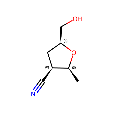 C[C@@H]1O[C@H](CO)C[C@@H]1C#N